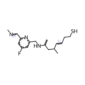 C=C(CC(C)/C=C/CCS)NCc1cc(F)cc(/C=N/C)n1